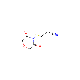 N#CCCSN1C(=O)COCC1=O